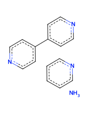 N.c1cc(-c2ccncc2)ccn1.c1ccncc1